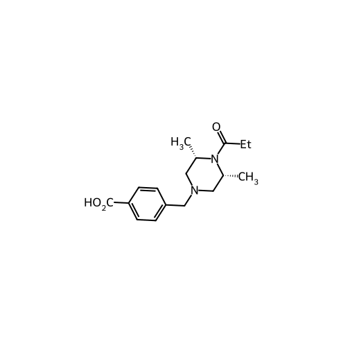 CCC(=O)N1[C@H](C)CN(Cc2ccc(C(=O)O)cc2)C[C@@H]1C